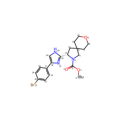 CC(C)(C)OC(=O)N1CC2(CCOCC2)C[C@H]1c1nc(-c2ccc(Br)cc2)c[nH]1